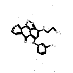 CCCNc1cc(Nc2cccc(C)c2)c2c3c(onc13)-c1ccccc1C2=O